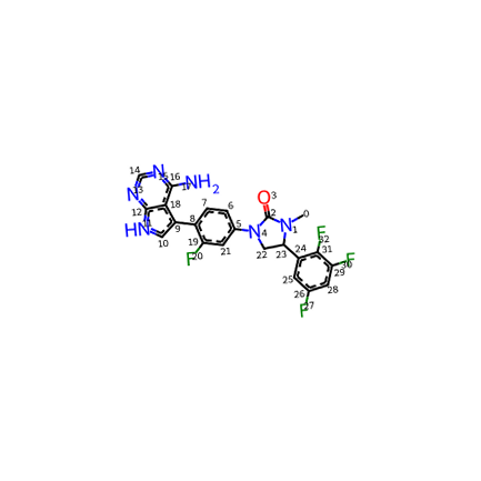 CN1C(=O)N(c2ccc(-c3c[nH]c4ncnc(N)c34)c(F)c2)CC1c1cc(F)cc(F)c1F